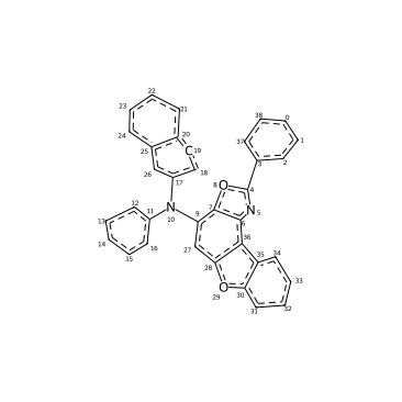 c1ccc(-c2nc3c(o2)c(N(c2ccccc2)c2ccc4ccccc4c2)cc2oc4ccccc4c23)cc1